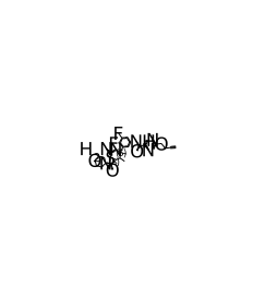 C#CCOc1cnc(C(=O)Nc2cc(F)c(F)c([C@@]3(C)N=C(N)S[C@](C)(C(=O)N4CCOCC4)C3C)c2)cn1